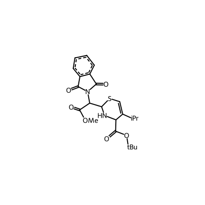 COC(=O)C(C1NC(C(=O)OC(C)(C)C)C(C(C)C)=CS1)N1C(=O)c2ccccc2C1=O